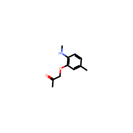 CNc1ccc(C)cc1OCC(C)=O